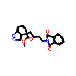 COC(=O)C1(CCCCN2C(=O)c3ccccc3C2=O)C=CC=C2N=NC=C21